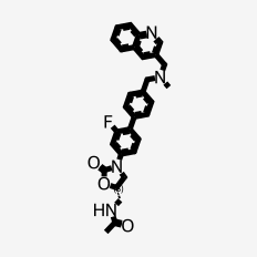 CC(=O)NC[C@H]1CN(c2ccc(-c3ccc(CN(C)Cc4cnc5ccccc5c4)cc3)c(F)c2)C(=O)O1